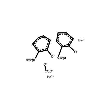 CCCCCCCc1ccccc1[O-].CCCCCCCc1ccccc1[O-].O=C([O-])[O-].[Ba+2].[Ba+2]